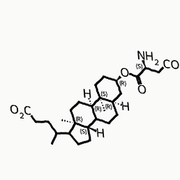 CC(CCC(=O)O)C1CC[C@H]2C3CC[C@@H]4C[C@H](OC(=O)[C@@H](N)CC(=O)O)CC[C@]4(C)[C@@H]3CC[C@]12C